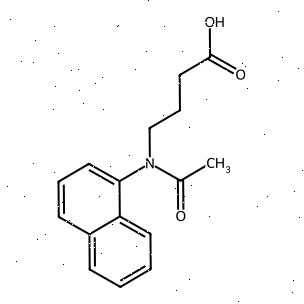 CC(=O)N(CCCC(=O)O)c1cccc2ccccc12